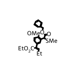 CCC=C(C(=O)OCC)c1ccc(OC)c(C(SC)C(=O)OCc2ccccc2)c1